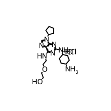 Cl.Cl.N[C@H]1CC[C@H](Nc2nc(NCCOCCO)c3ncn(C4CCCC4)c3n2)CC1